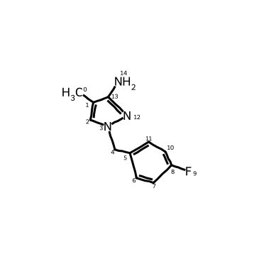 Cc1cn(Cc2ccc(F)cc2)nc1N